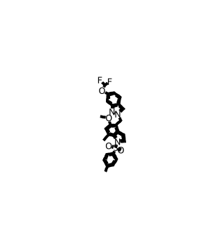 COc1cc(C)c2c(ccn2S(=O)(=O)c2ccc(C)cc2)c1Cn1cc2ccc(OC(F)F)cc2n1